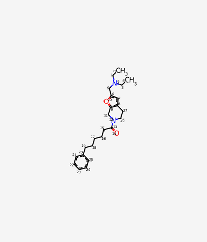 CCN(CC)Cc1cc2c(o1)CN(C(=O)CCCCCc1ccccc1)CC2